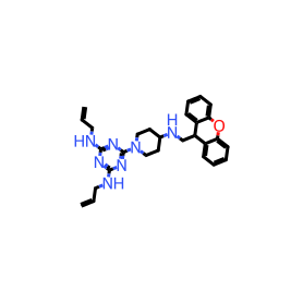 C=CCNc1nc(NCC=C)nc(N2CCC(NCC3c4ccccc4Oc4ccccc43)CC2)n1